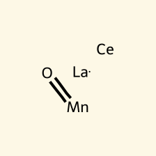 [Ce].[La].[O]=[Mn]